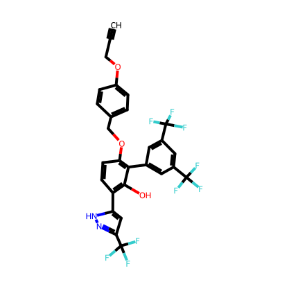 C#CCOc1ccc(COc2ccc(-c3cc(C(F)(F)F)n[nH]3)c(O)c2-c2cc(C(F)(F)F)cc(C(F)(F)F)c2)cc1